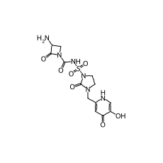 NC1CN(C(=O)NS(=O)(=O)N2CCN(Cc3cc(=O)c(O)c[nH]3)C2=O)C1=O